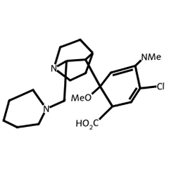 CNC1=CC(OC)(C2C3CCN(CC3)C2CN2CCCCC2)C(C(=O)O)C=C1Cl